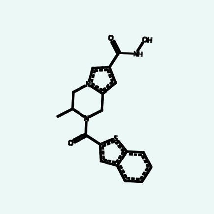 CC1Cn2cc(C(=O)NO)cc2CN1C(=O)c1cc2ccccc2s1